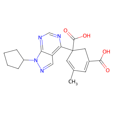 CC1=CC(C(=O)O)(c2ncnc3c2cnn3C2CCCC2)CC(C(=O)O)=C1